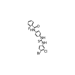 O=C(Nc1ccc(NC(=S)Nc2ccc(Br)c(Cl)c2)cc1)c1ccccc1F